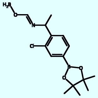 BOC=NC(C)c1ccc(B2OC(C)(C)C(C)(C)O2)cc1Cl